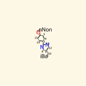 CCCCCCCCCOc1ccc(-c2ncc(CC(C)CC)cn2)cc1